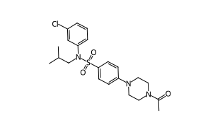 CC(=O)N1CCN(c2ccc(S(=O)(=O)N(CC(C)C)c3cccc(Cl)c3)cc2)CC1